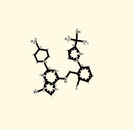 CC(C)n1cnc2c(NCc3c(F)cccc3-n3ccc(C(C)(C)O)n3)nc(N3CCC(N)CC3)nc21